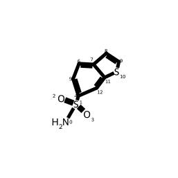 NS(=O)(=O)c1ccc2ccsc2c1